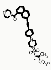 C[C@@H](NS(=O)(=O)N1CCN(c2ccc(C#Cc3ccc4cccc(C(=O)N5CCOCC5)c4c3)cc2)CC1)C(=O)O